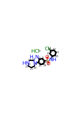 Cl.Nc1cc(S(=O)(=O)Nc2cccc(Cl)c2)ccc1N1CCCNCC1